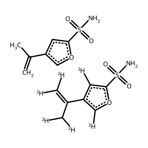 C=C(C)c1coc(S(N)(=O)=O)c1.[2H]C([2H])=C(c1c([2H])oc(S(N)(=O)=O)c1[2H])C([2H])[2H]